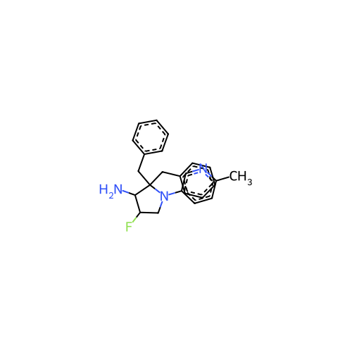 Cc1ccc(N2CC(F)C(N)C2(Cc2ccccc2)Cc2ccccc2)cn1